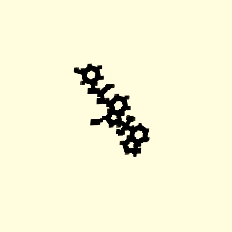 Cl.[2H]C([2H])(c1ccnc2[nH]ccc12)n1ccc2c(NC(=O)Nc3cccc(C)c3)cccc21